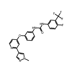 Cn1cc(-c2cc(Oc3cccc(NC(=O)Nc4ccc(F)c(C(F)(F)F)c4)c3)ccn2)cn1